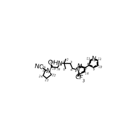 CC(C)(CCn1nc(-c2cccnc2)cc1C(F)(F)F)NCC(=O)N1CCCC1C#N